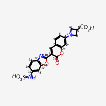 O=C(O)C1CN(c2ccc3cc(-c4nc5ccc(NS(=O)(=O)O)cc5o4)c(=O)oc3c2)C1